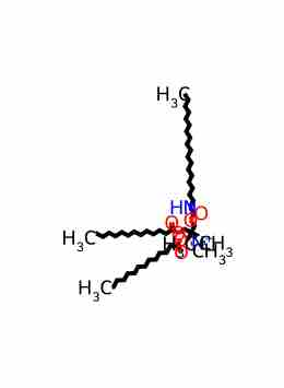 CCCCCCCCCCCCCCCCCCNC(=O)OCC(COC(=O)CCCCCCCCCCCCC)(COC(=O)CCCCCCCCCCCCC)C[N+](C)(C)C